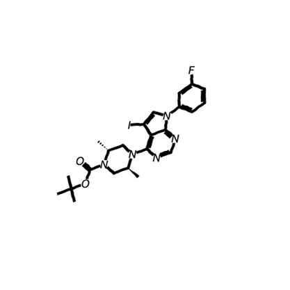 C[C@@H]1CN(c2ncnc3c2c(I)cn3-c2cccc(F)c2)[C@@H](C)CN1C(=O)OC(C)(C)C